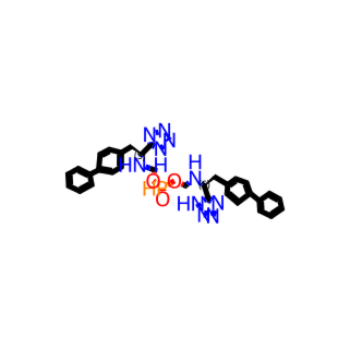 O=[PH](OCN[C@@H](Cc1ccc(-c2ccccc2)cc1)c1nnn[nH]1)OCN[C@@H](Cc1ccc(-c2ccccc2)cc1)c1nnn[nH]1